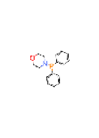 c1ccc(P(c2ccccc2)N2CCOCC2)cc1